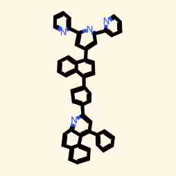 c1ccc(-c2cc(-c3ccc(-c4ccc(-c5cc(-c6ccccn6)nc(-c6ccccn6)c5)c5ccccc45)cc3)nc3ccc4ccccc4c23)cc1